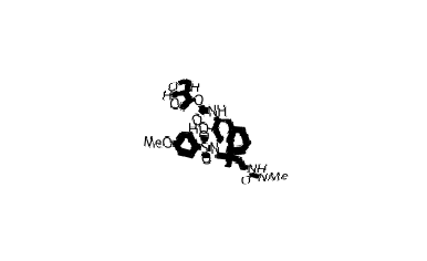 CNC(=O)NCCC(C)(C)CN(C[C@H](O)[C@H](Cc1ccccc1)NC(=O)O[C@H]1CO[C@H]2OCC[C@H]21)S(=O)(=O)c1ccc(OC)cc1